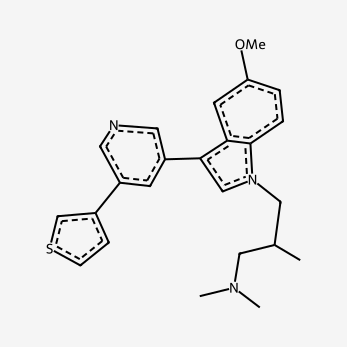 COc1ccc2c(c1)c(-c1cncc(-c3ccsc3)c1)cn2CC(C)CN(C)C